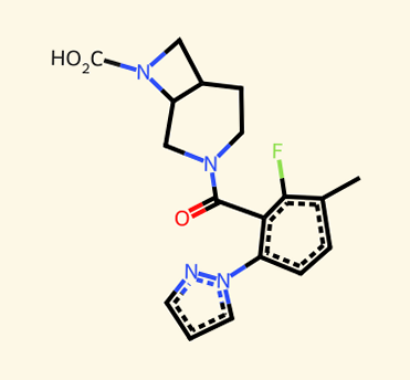 Cc1ccc(-n2cccn2)c(C(=O)N2CCC3CN(C(=O)O)C3C2)c1F